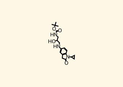 CC(C)(C)OC(=O)NCC(O)CNc1ccc2c(c1)CC(=O)N2C1CC1